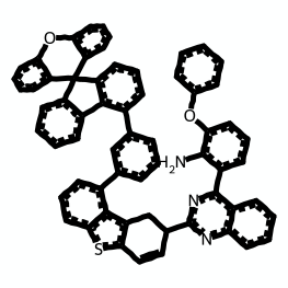 Nc1c(Oc2ccccc2)cccc1-c1nc(C2C=Cc3sc4cccc(-c5cccc(-c6cccc7c6-c6ccccc6C76c7ccccc7Oc7ccccc76)c5)c4c3C2)nc2ccccc12